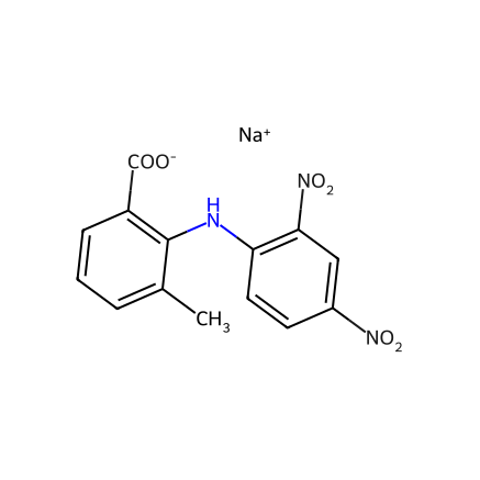 Cc1cccc(C(=O)[O-])c1Nc1ccc([N+](=O)[O-])cc1[N+](=O)[O-].[Na+]